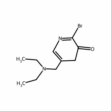 CCN(CC)CC1=CN=C(Br)C(=O)C1